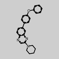 c1ccc(Oc2ccc(-c3ccc4ncc(N5CCCCC5)nc4c3)cc2)cc1